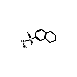 CC(C)(C)NS(=O)(=O)c1ccc2c(c1)CCCC2